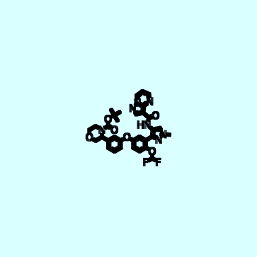 Cn1cc(NC(=O)c2cnn3cccnc23)c(-c2cc(Oc3cccc(C4COCCN4C(=O)OC(C)(C)C)c3)ccc2OC(F)F)n1